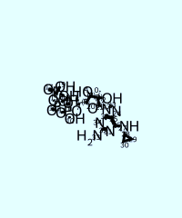 C[C@@]1(O)[C@H](O)[C@@H](COP(=O)(O)OP(=O)(O)OP(=O)(O)O)O[C@H]1n1cnc2c(NC3CC3)nc(N)nc21